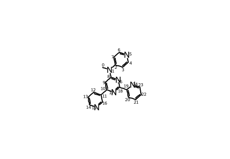 CN(c1ccncc1)c1cc(-c2cccnc2)nc(-c2ccccn2)n1